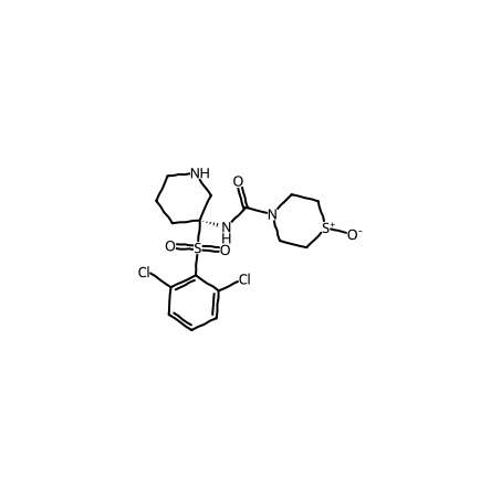 O=C(N[C@]1(S(=O)(=O)c2c(Cl)cccc2Cl)CCCNC1)N1CC[S+]([O-])CC1